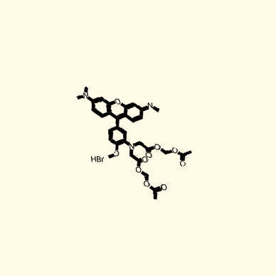 Br.CN=c1ccc2c(-c3ccc(OC)c(N(CC(=O)OCOC(C)=O)CC(=O)OCOC(C)=O)c3)c3ccc(N(C)C)cc3oc-2c1